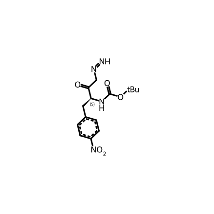 CC(C)(C)OC(=O)N[C@@H](Cc1ccc([N+](=O)[O-])cc1)C(=O)CN=N